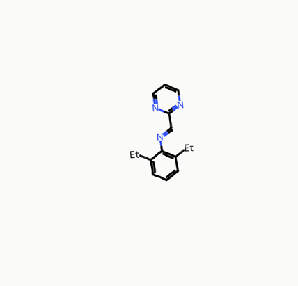 CCc1cccc(CC)c1/N=C/c1ncccn1